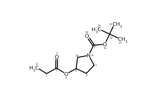 CCC(=O)OC1CCN(C(=O)OC(C)(C)C)C1